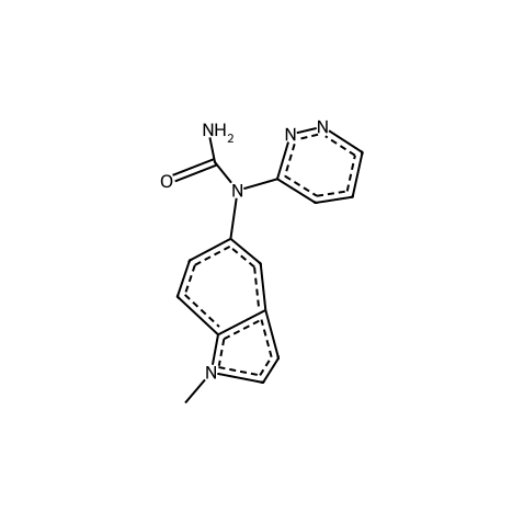 Cn1ccc2cc(N(C(N)=O)c3cccnn3)ccc21